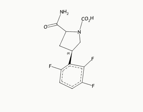 NC(=O)C1C[C@H](c2c(F)ccc(F)c2F)CN1C(=O)O